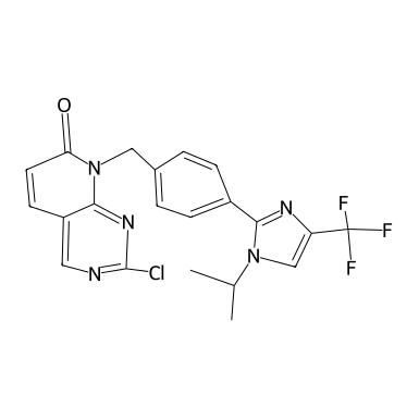 CC(C)n1cc(C(F)(F)F)nc1-c1ccc(Cn2c(=O)ccc3cnc(Cl)nc32)cc1